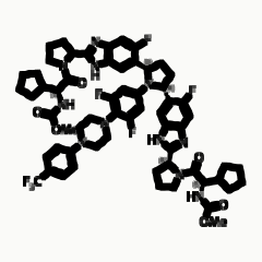 COC(=O)N[C@H](C(=O)N1CCCC1c1nc2cc(F)c([C@H]3CC[C@H](c4cc5[nH]c([C@@H]6CCCN6C(=O)[C@@H](NC(=O)OC)C6CCCC6)nc5cc4F)N3c3cc(F)c(N4CCN(c5ccc(C(F)(F)F)cc5)CC4)c(F)c3)cc2[nH]1)C1CCCC1